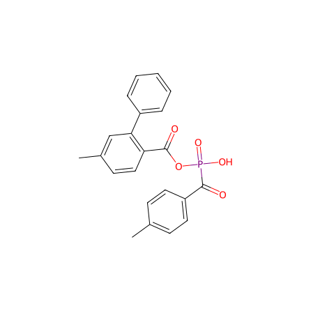 Cc1ccc(C(=O)P(=O)(O)OC(=O)c2ccc(C)cc2-c2ccccc2)cc1